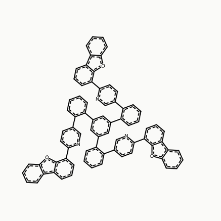 c1ccc(-c2cc(-c3ccccc3-c3ccc(-c4cccc5c4oc4ccccc45)nc3)cc(-c3ccccc3-c3ccc(-c4cccc5c4oc4ccccc45)nc3)c2)c(-c2ccc(-c3cccc4c3oc3ccccc34)nc2)c1